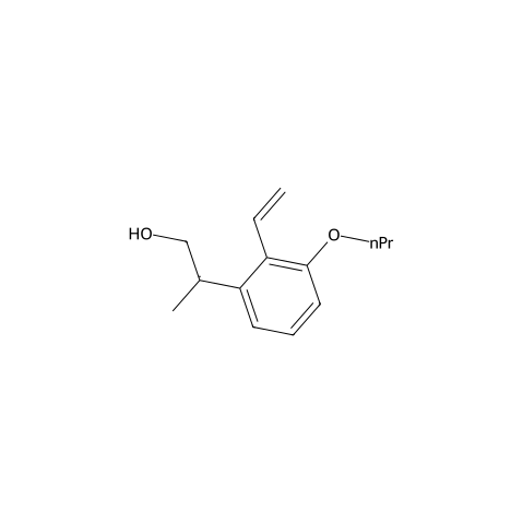 C=Cc1c(OCCC)cccc1[C](C)CO